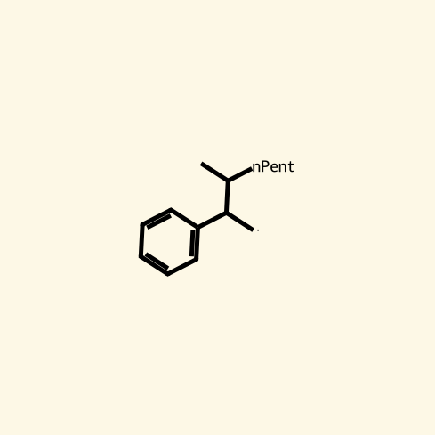 [CH2]CCCCC(C)C([CH2])c1ccccc1